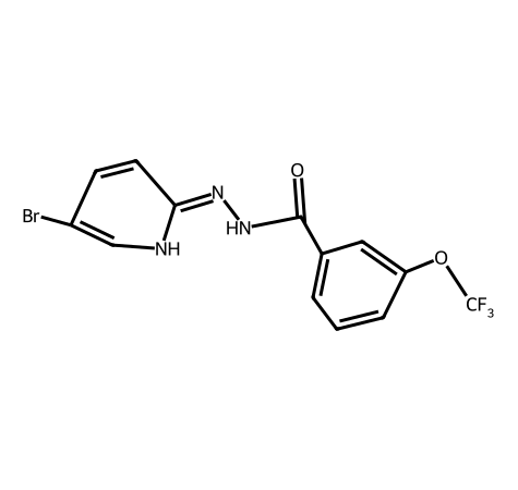 O=C(N/N=c1/ccc(Br)c[nH]1)c1cccc(OC(F)(F)F)c1